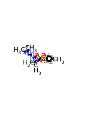 CCN(CC)CCNC(=O)N(CCS(=O)(=O)c1ccc(C)cc1)C(C)C